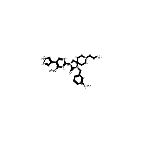 COc1cccc(CN2C(=O)N(c3ncc(-c4cn[nH]c4)c(OC)n3)CC23CCN(CCC(F)(F)F)CC3)c1